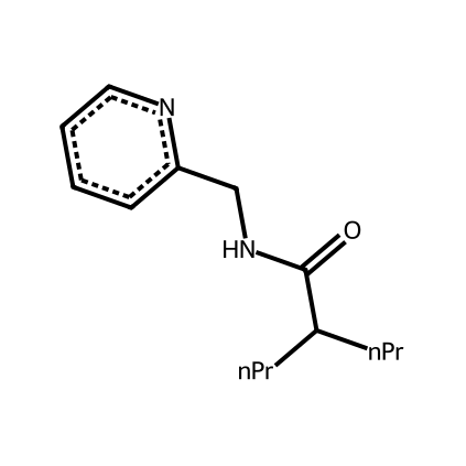 CCCC(CCC)C(=O)NCc1ccccn1